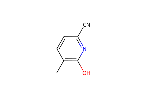 Cc1ccc(C#N)nc1O